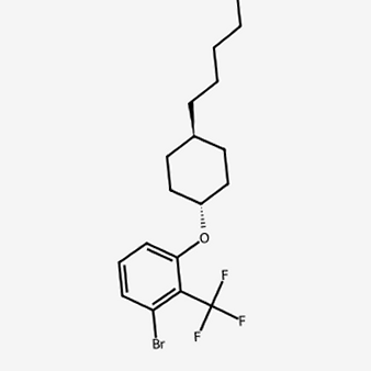 OCCCC[C@H]1CC[C@H](Oc2cccc(Br)c2C(F)(F)F)CC1